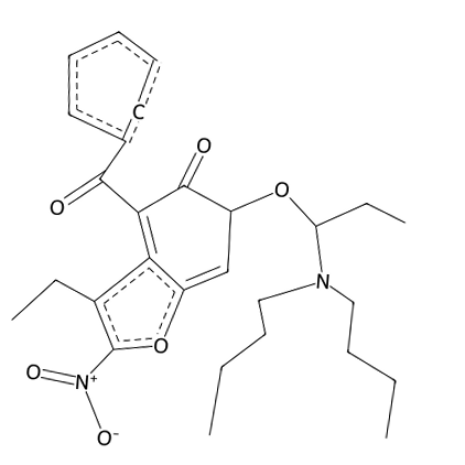 CCCCN(CCCC)C(CC)OC1C=c2oc([N+](=O)[O-])c(CC)c2=C(C(=O)c2ccccc2)C1=O